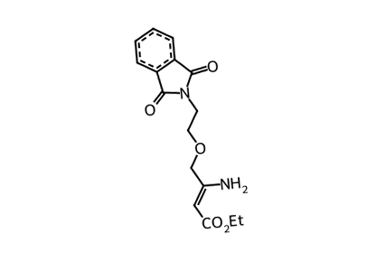 CCOC(=O)C=C(N)COCCN1C(=O)c2ccccc2C1=O